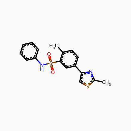 Cc1nc(-c2ccc(C)c(S(=O)(=O)Nc3ccccc3)c2)cs1